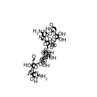 COCC[C@H]1[C@@H](O)[C@H](n2c[n+](C)c3c(=O)[nH]c(N)nc32)O[C@@H]1COP(=O)(O)OP(=O)(O)CP(=O)(O)OP(=O)(O)OCC1O[C@@H](n2cnc3c(N)ncnc32)[C@H](OC)[C@@H]1P(=O)([O-])OC[C@H]1O[C@@H](n2ccc(=O)[nH]c2=O)[C@H](O)[C@@H]1O